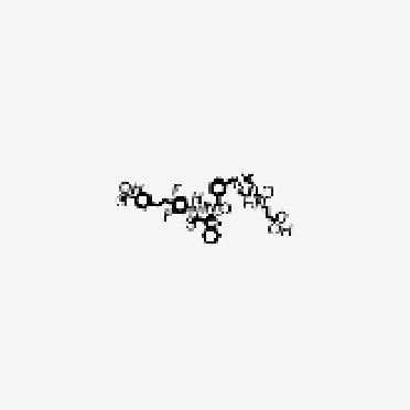 CC1(C)CN(C(=O)NCCC(=O)O)CCN1Cc1cccc(C(=O)Nc2sc3c(c2C(=O)Nc2cc(F)c(CCc4ccc(C(=O)O)cc4)c(F)c2)CCCC3)c1